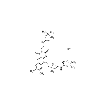 Cc1cc2nc3c(=O)n(CCNC(=O)OC(C)(C)C)c(=O)nc-3n(CC[N+](C)(C)CCNC(=O)OC(C)(C)C)c2cc1C.[Br-]